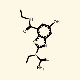 CCNC(=O)c1cc(O)cc2nc(N(CC)C(N)=O)sc12